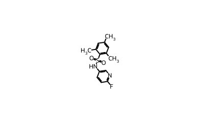 Cc1cc(C)c(S(=O)(=O)Nc2ccc(F)nc2)c(C)c1